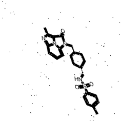 Cc1ccc(S(=O)(=O)NC[C@H]2CC[C@H](Cn3c(=O)c4c(C)nc5cccc3n54)CC2)cc1